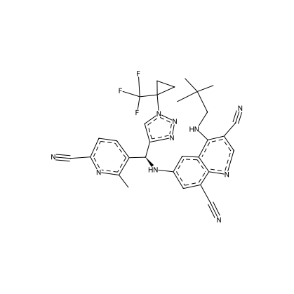 Cc1nc(C#N)ccc1[C@H](Nc1cc(C#N)c2ncc(C#N)c(NCC(C)(C)C)c2c1)c1cn(C2(C(F)(F)F)CC2)nn1